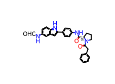 O=CNc1ccc2[nH]c(-c3ccc(NC(=O)[C@@H]4CCCN4C(=O)Cc4ccccc4)cc3)cc2c1